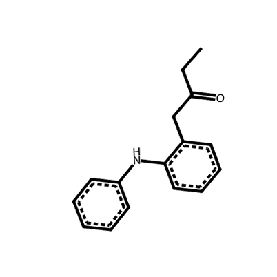 CCC(=O)Cc1ccccc1Nc1ccccc1